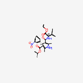 CCOC(=O)[C@H](NC(=O)C1=C(C)NC(C)=C(C(=O)OC(C)C)[C@@H]1c1cccc([N+](=O)[O-])c1)C(C)C